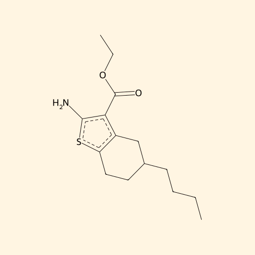 CCCCC1CCc2sc(N)c(C(=O)OCC)c2C1